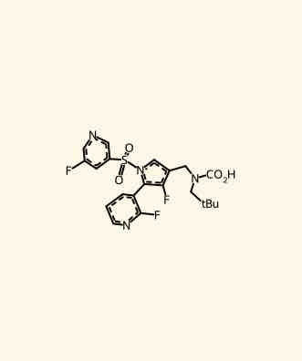 CC(C)(C)CN(Cc1cn(S(=O)(=O)c2cncc(F)c2)c(-c2cccnc2F)c1F)C(=O)O